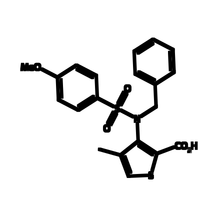 COc1ccc(S(=O)(=O)N(Cc2ccccc2)c2c(C)csc2C(=O)O)cc1